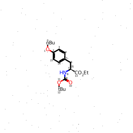 CCCCOc1ccc(C[C@H](NC(=O)OC(C)(C)C)C(=O)OCC)cc1